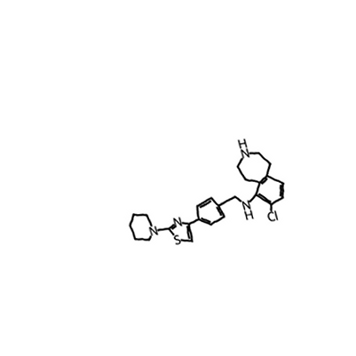 Clc1ccc2c(c1NCc1ccc(-c3csc(N4CCCCC4)n3)cc1)CCNCC2